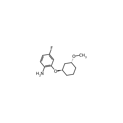 CO[C@@H]1CCC[C@@H](Oc2cc(F)ccc2N)C1